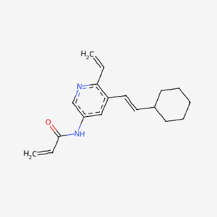 C=CC(=O)Nc1cnc(C=C)c(/C=C/C2CCCCC2)c1